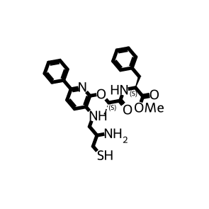 COC(=O)[C@H](Cc1ccccc1)NC(=O)[C@H](C)Oc1nc(-c2ccccc2)ccc1NCC(N)CS